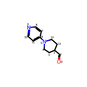 O=CC1CCN(c2ccncc2)CC1